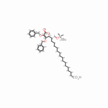 CC(C)(C)[Si](C)(C)OC[C@H](CCCCCCCCCCCCCCCC(=O)O)[C@H]1OC(=O)C(OCc2ccccc2)=C1OCc1ccccc1